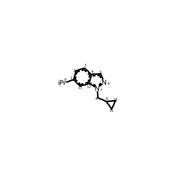 CC(C)c1ccc2cnn(CC3CC3)c2c1